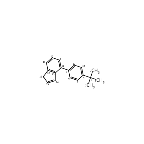 CC(C)(C)c1ccc(-c2cccc3c2C=C[CH]3)cc1